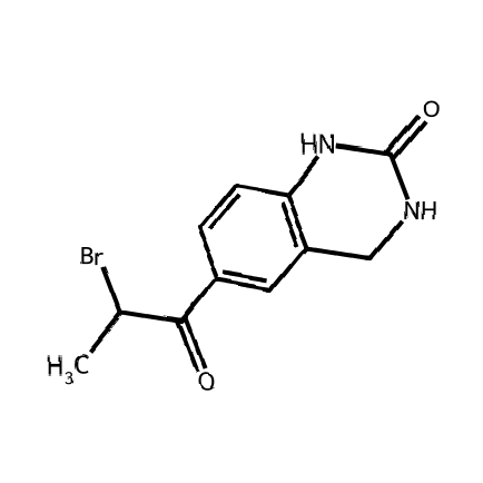 CC(Br)C(=O)c1ccc2c(c1)CNC(=O)N2